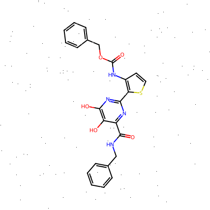 O=C(Nc1ccsc1-c1nc(O)c(O)c(C(=O)NCc2ccccc2)n1)OCc1ccccc1